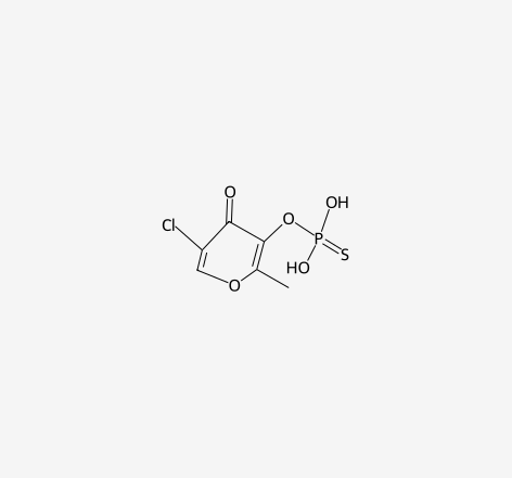 Cc1occ(Cl)c(=O)c1OP(O)(O)=S